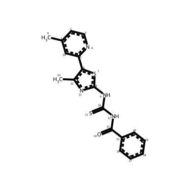 Cc1ccnc(-c2sc(NC(=S)NC(=O)c3ccccc3)nc2C)c1